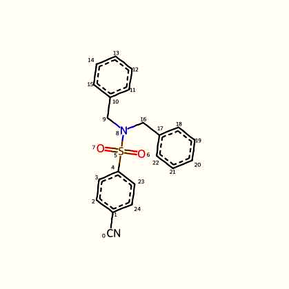 N#Cc1ccc(S(=O)(=O)N(Cc2ccccc2)Cc2ccccc2)cc1